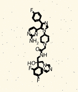 Nc1nccc(-c2c(-c3ccc(F)cc3)ncn2C2CCN(CC(=O)NC[C@](O)(Cn3cncn3)c3ccc(F)cc3F)CC2)n1